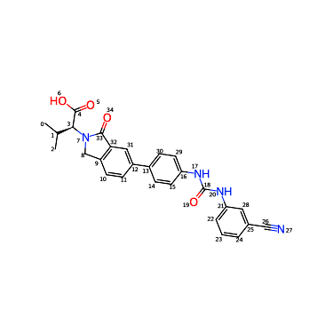 CC(C)[C@@H](C(=O)O)N1Cc2ccc(-c3ccc(NC(=O)Nc4cccc(C#N)c4)cc3)cc2C1=O